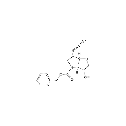 [N-]=[N+]=N[C@H]1CN(C(=O)OCc2ccccc2)[C@H]2[C@@H]1OC[C@@H]2O